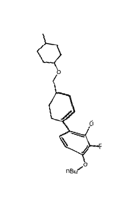 CCCCOc1ccc(C2=CCC(COC3CCC(C)CC3)CC2)c(Cl)c1F